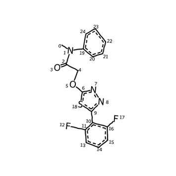 CN(C(=O)COc1nnc(-c2c(F)cccc2F)s1)c1ccccc1